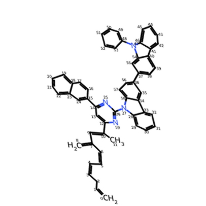 C=CC/C=C\C=C/C(=C)/C=C(\C)c1cc(-c2ccc3ccccc3c2)nc(-n2c3ccccc3c3cc(-c4ccc5c6ccccc6n(-c6ccccc6)c5c4)ccc32)n1